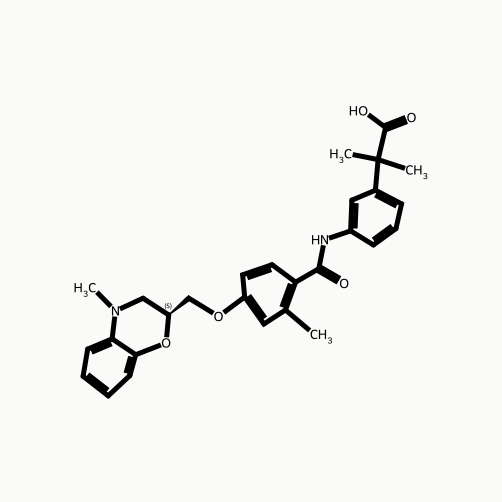 Cc1cc(OC[C@@H]2CN(C)c3ccccc3O2)ccc1C(=O)Nc1cccc(C(C)(C)C(=O)O)c1